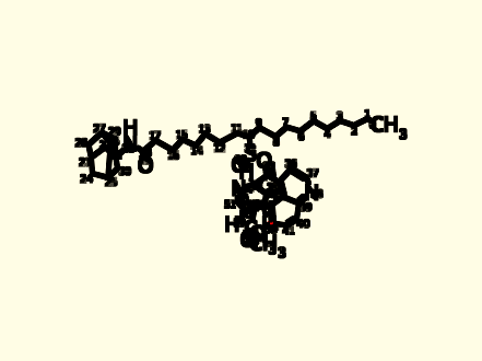 CCCCCCCCCCC(CCCCCCCC(=O)NC12CC3CC(CC(C3)C1)C2)S(=O)O[C@@H](c1ccnc2ccc(OC)cc12)[C@H]1C[C@@H]2CCN1C[C@@H]2CC